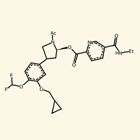 CCNC(=O)c1ccc(C(=O)O[C@H]2CC(c3ccc(OC(F)F)c(OCC4CC4)c3)CN2C(C)=O)nc1